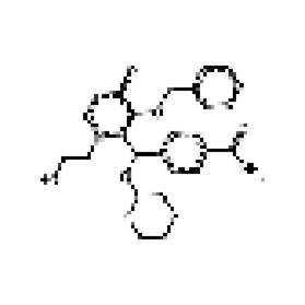 NC(=O)c1ccc(C(OC2CCCCO2)c2c(OCc3ccccc3)c(=O)ccn2CCO)cc1